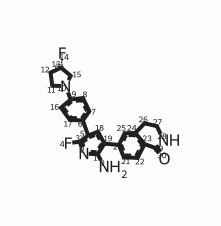 Nc1nc(F)c(-c2ccc(N3CC[C@H](F)C3)cc2)cc1-c1ccc2c(c1)CCNC2=O